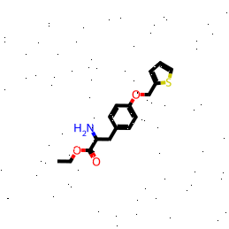 CCOC(=O)C(N)Cc1ccc(OCc2cccs2)cc1